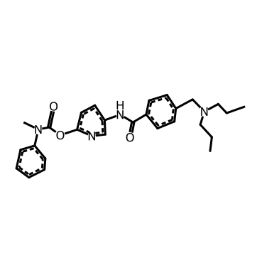 CCCN(CCC)Cc1ccc(C(=O)Nc2ccc(OC(=O)N(C)c3ccccc3)nc2)cc1